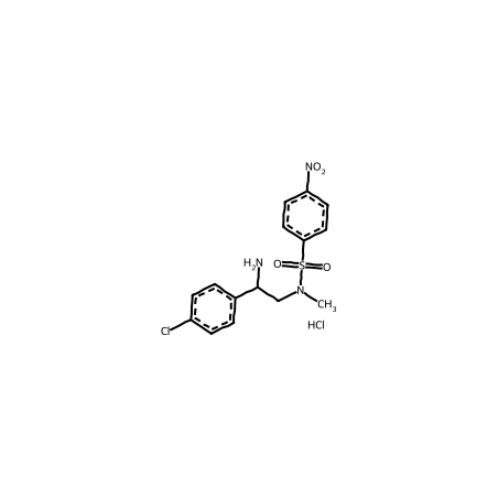 CN(CC(N)c1ccc(Cl)cc1)S(=O)(=O)c1ccc([N+](=O)[O-])cc1.Cl